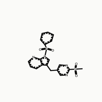 CS(=O)(=O)c1ncc(Cc2cn(S(=O)(=O)c3ccccc3)c3ncccc23)cn1